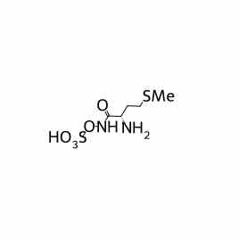 CSCC[C@H](N)C(=O)NOS(=O)(=O)O